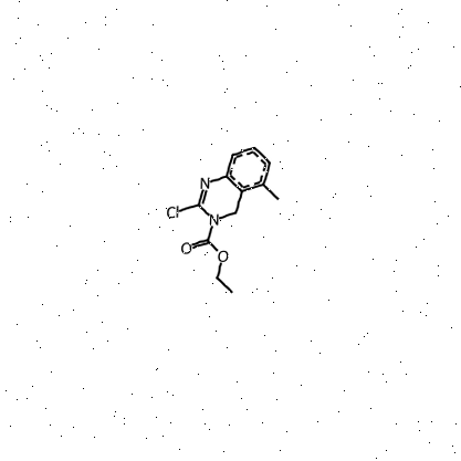 CCOC(=O)N1Cc2c(C)cccc2N=C1Cl